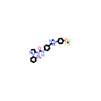 COc1ccccc1-n1nccc1NC(=O)Nc1ccc(-c2ncn(-c3ccc(OC(F)(F)F)cc3)n2)cc1